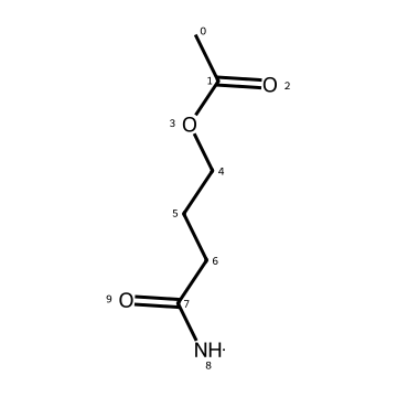 CC(=O)OCCCC([NH])=O